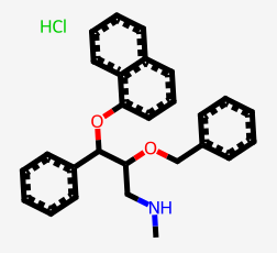 CNCC(OCc1ccccc1)C(Oc1cccc2ccccc12)c1ccccc1.Cl